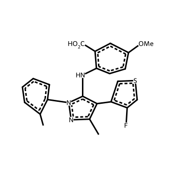 COc1ccc(Nc2c(-c3cscc3F)c(C)nn2-c2ccccc2C)c(C(=O)O)c1